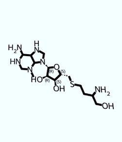 CN1CNC(N)C2NCN([C@@H]3O[C@H](CSCCC(N)CO)[C@@H](O)[C@H]3O)C21